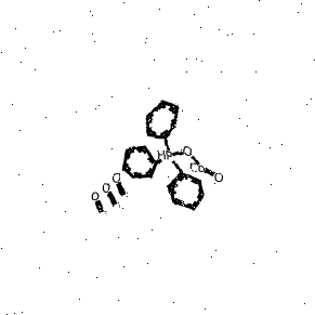 [C]=O.[C]=O.[C]=O.[O]=[Co][O][PH](c1ccccc1)(c1ccccc1)c1ccccc1